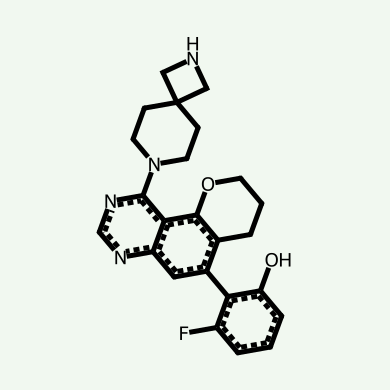 Oc1cccc(F)c1-c1cc2ncnc(N3CCC4(CC3)CNC4)c2c2c1CCCO2